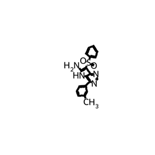 Cc1cccc(-c2ncnc3c(S(=O)(=O)c4ccccc4)c(N)[nH]c23)c1